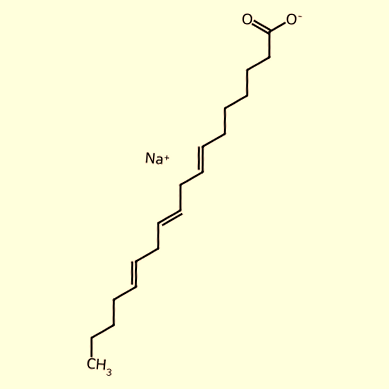 CCCCC=CCC=CCC=CCCCCCC(=O)[O-].[Na+]